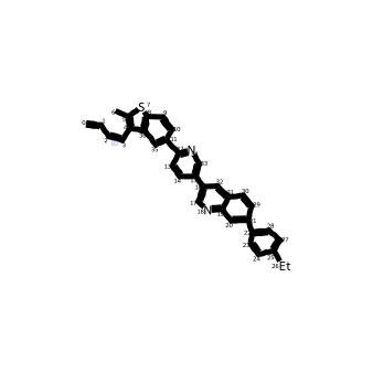 C=C/C=C\c1c(C)sc2ccc(-c3ccc(-c4cnc5cc(-c6ccc(CC)cc6)ccc5c4)cn3)cc12